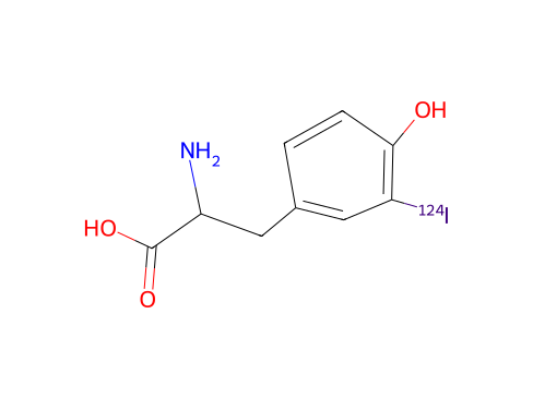 NC(Cc1ccc(O)c([124I])c1)C(=O)O